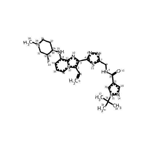 C=Cc1c(-c2nnc(CNC(=O)c3cnn(C(C)(C)C)c3)s2)nc2c(N[C@@H]3CCN(C)C[C@@H]3F)cccn12